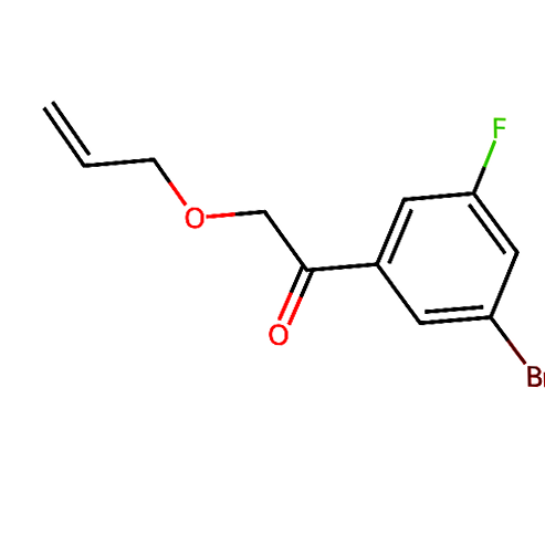 C=CCOCC(=O)c1cc(F)cc(Br)c1